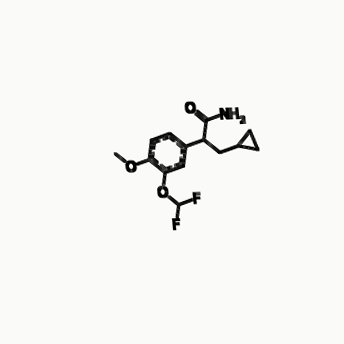 COc1ccc(C(CC2CC2)C(N)=O)cc1OC(F)F